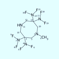 CN1CC(N(F)F)(N(F)F)CNCC(N(F)F)(N(F)F)C1